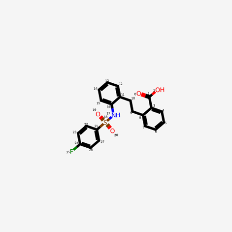 O=C(O)c1ccccc1CCc1ccccc1NS(=O)(=O)c1ccc(F)cc1